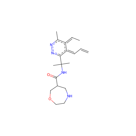 C=C/C=c1/c(C(C)(C)NC(=O)C2CNCCOC2)nnc(C)/c1=C/C